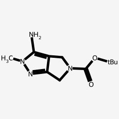 Cn1nc2c(c1N)CN(C(=O)OC(C)(C)C)C2